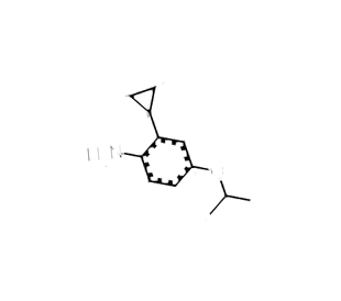 CC(C)Oc1ccc(N)c(C2CC2)c1